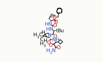 CC(C)C[C@H](NC(=O)N[C@H](C(=O)N1C[C@H]2[C@@H]([C@H]1C(=O)NC(C(=O)C(N)=O)C1CCC1)C2(C)C)C(C)(C)C)C(=O)OCc1ccccc1